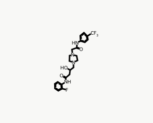 O=C(CN1CCN(CC(O)CC(=O)Nc2ccccc2F)CC1)Nc1ccc(C(F)(F)F)cc1